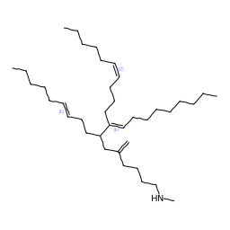 C=C(CCCCNC)CC(CC/C=C/CCCCC)/C(=C/CCCCCCCC)CCC/C=C\CCCCC